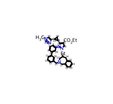 CCOC(=O)c1cnn(-c2cccc(-c3cccc(CN4Cc5ccccc5CC(CC)C4)c3)c2)c1[C@@H]1C[C@H]1c1cn(C)nn1